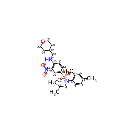 Cc1ccc(N(CC(C)C)S(=O)(=O)c2ccc(NCC3CCOCC3)c([N+](=O)[O-])c2)c(C)c1